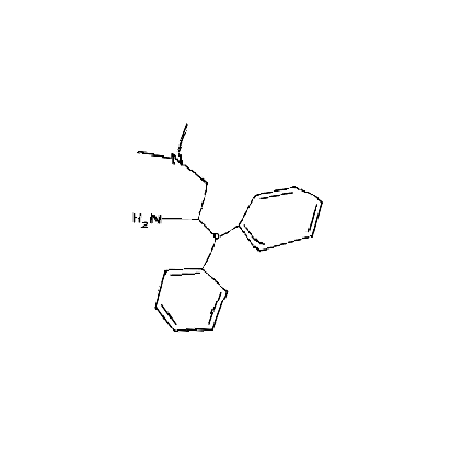 CN(C)CC(N)P(c1ccccc1)c1ccccc1